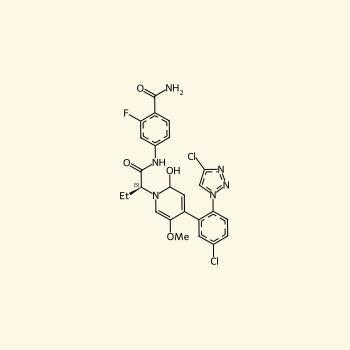 CC[C@@H](C(=O)Nc1ccc(C(N)=O)c(F)c1)N1C=C(OC)C(c2cc(Cl)ccc2-n2cc(Cl)nn2)=CC1O